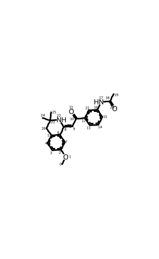 COc1ccc2c(c1)/C(=C/C(=O)c1cccc(NC(C)=O)c1)NC(C)(C)C2